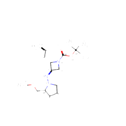 C=CC[C@H]1/C(=N/N2CCC[C@H]2COC)CN1C(=O)OC(C)(C)C